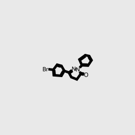 O=C1CCC(c2ccc(Br)cc2)=NN1c1ccccc1